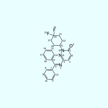 O=c1ccc(N=C(c2ccccc2)c2ccccc2)nn1C1CCC(F)(F)CC1